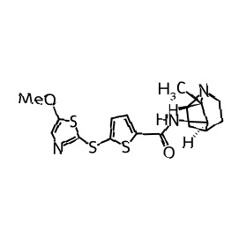 COc1cnc(Sc2ccc(C(=O)N[C@@H]3C4CCN(CC4)[C@H]3C)s2)s1